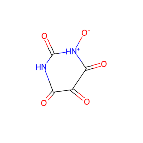 O=C1NC(=O)[NH+]([O-])C(=O)C1=O